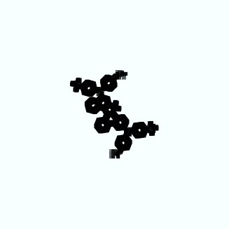 CC(C)c1ccc(N(c2ccc([Si](C)(C)C)cc2)c2ccc3c4c(c5ccccc5c3c2)-c2c(cc(N(c3ccc(C(C)C)cc3)c3ccc([Si](C)(C)C)cc3)c3ccccc23)C4(C)C)cc1